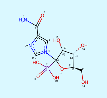 NC(=O)c1cn(C2(P(=O)(O)O)O[C@H](CO)[C@@H](O)[C@H]2O)cn1